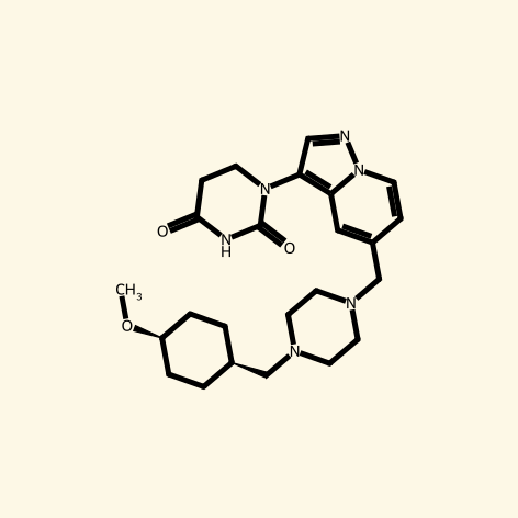 CO[C@H]1CC[C@@H](CN2CCN(Cc3ccn4ncc(N5CCC(=O)NC5=O)c4c3)CC2)CC1